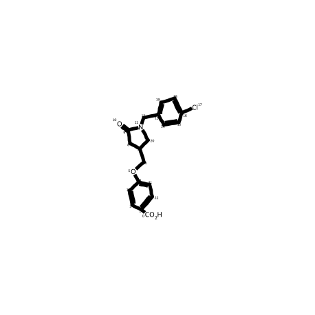 O=C(O)c1ccc(OCC2CC(=O)N(Cc3ccc(Cl)cc3)C2)cc1